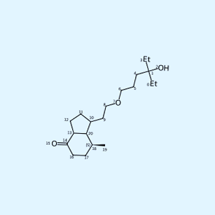 CCC(O)(CC)CCCOCCC1CCC2C(=O)CC[C@H](C)C12